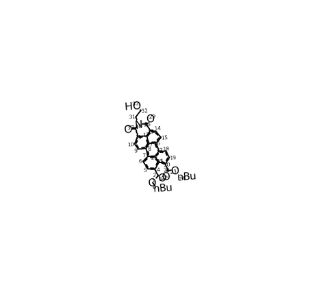 CCCCOC(=O)c1ccc2c3ccc4c5c(ccc(c6ccc(C(=O)OCCCC)c1c26)c53)C(=O)N(CCO)C4=O